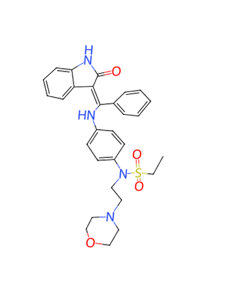 CCS(=O)(=O)N(CCN1CCOCC1)c1ccc(NC(=C2C(=O)Nc3ccccc32)c2ccccc2)cc1